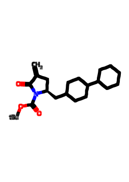 C=C1C[C@@H](CC2CCC(C3CCCCC3)CC2)N(C(=O)OC(C)(C)C)C1=O